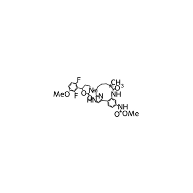 COC(=O)Nc1ccc2c(c1)NC(=O)[C@H](C)CCC[C@H](N1CCC(c3c(F)ccc(OC)c3F)OC1=O)c1nc-2c[nH]1